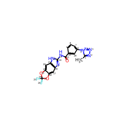 Cc1nnnn1-c1cccc(C(=O)Nc2nc3cc4c(cc3[nH]2)OC(F)(F)O4)c1